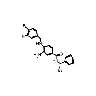 CC[C@@H](NC(=O)c1ccc(NCc2ccc(F)c(F)c2)c(N)c1)c1ccccc1